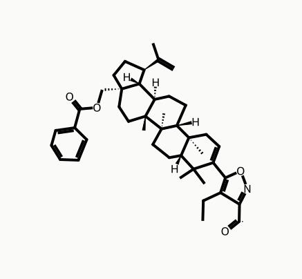 C=C(C)[C@@H]1CC[C@]2(COC(=O)c3ccccc3)CC[C@]3(C)[C@H](CC[C@@H]4[C@@]5(C)CC=C(c6onc([C]=O)c6CC)C(C)(C)[C@@H]5CC[C@]43C)[C@@H]12